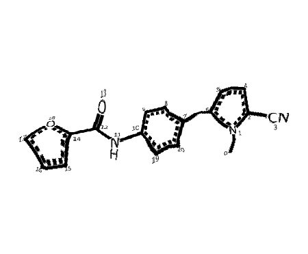 Cn1c(C#N)ccc1-c1ccc(NC(=O)c2ccco2)cc1